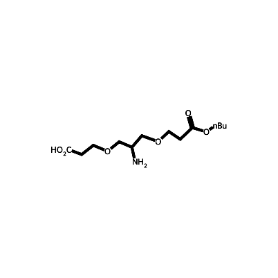 CCCCOC(=O)CCOCC(N)COCCC(=O)O